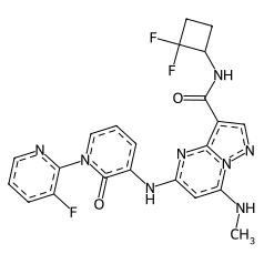 CNc1cc(Nc2cccn(-c3ncccc3F)c2=O)nc2c(C(=O)NC3CCC3(F)F)cnn12